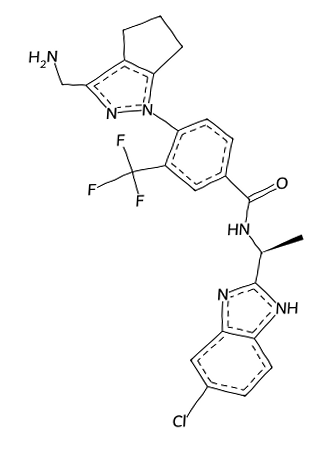 C[C@H](NC(=O)c1ccc(-n2nc(CN)c3c2CCC3)c(C(F)(F)F)c1)c1nc2cc(Cl)ccc2[nH]1